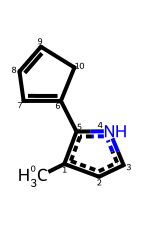 Cc1cc[nH]c1C1=CC=CC1